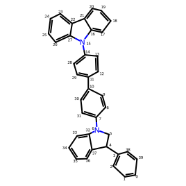 c1ccc(C2CN(c3ccc(-c4ccc(-n5c6ccccc6c6ccccc65)cc4)cc3)c3ccccc32)cc1